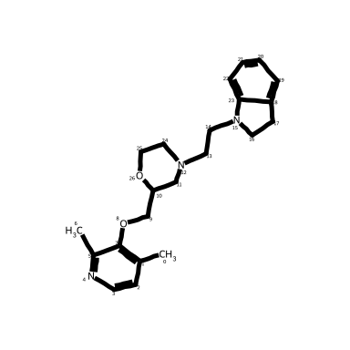 Cc1ccnc(C)c1OCC1CN(CCN2CCc3ccccc32)CCO1